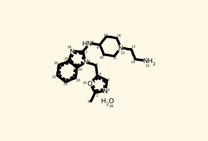 Cc1ncc(Cn2c(NC3CCN(CCN)CC3)nc3ccccc32)o1.O